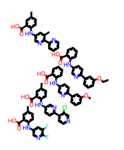 CCOc1cccc(-c2ccc(Nc3ccccc3C(=O)O)cn2)c1.COc1cccc(-c2ccc(Nc3ccccc3C(=O)O)cn2)c1.Cc1ccc(Nc2ccc(-c3ccncc3Cl)nc2)c(C(=O)O)c1.Cc1ccc(Nc2cnc(-c3ccccn3)c(C)c2)c(C(=O)O)c1.Cc1ccc(Nc2cnc(F)c(F)c2)c(C(=O)O)c1